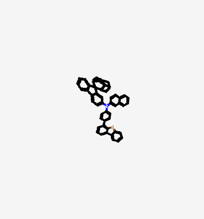 c1ccc2c(c1)-c1ccc(N(c3ccc(-c4cccc5c4sc4ccccc45)cc3)c3ccc4ccccc4c3)cc1C21C2CC3CC(C2)CC1C3